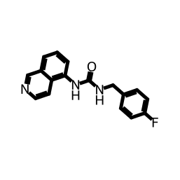 O=C(NCc1ccc(F)cc1)Nc1cccc2cnccc12